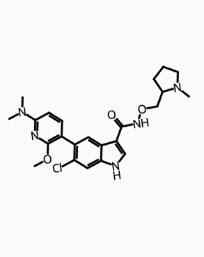 COc1nc(N(C)C)ccc1-c1cc2c(C(=O)NOCC3CCCN3C)c[nH]c2cc1Cl